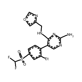 CCc1cc(S(=O)(=O)C(F)F)ccc1-c1cnc(N)nc1NCc1cocn1